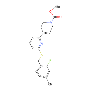 CC(C)(C)OC(=O)N1CC=C(c2cccc(SCc3ccc(C#N)cc3F)n2)CC1